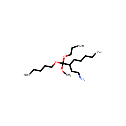 CCCCCCCCCCCCCCOC(O[SiH3])(OCCCCCCCCCCCC)C(CCN)CCCCCCCCCCCCCC